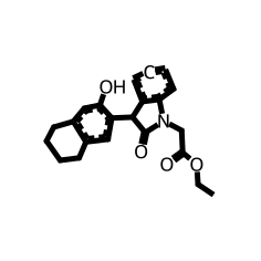 CCOC(=O)CN1C(=O)C(c2cc3c(cc2O)CCCC3)c2ccccc21